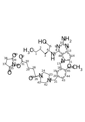 CCCC[C@@H](CO)Nc1nc(N)nc2ccn(Cc3cc(CN4CCN(C(=O)CCCC(=O)ON5C(=O)CCC5=O)CC4)ccc3OC)c12